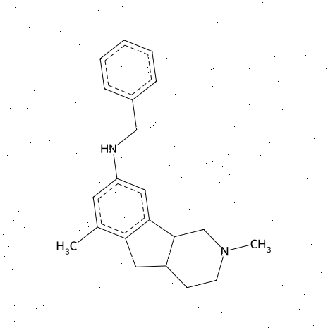 Cc1cc(NCc2ccccc2)cc2c1CC1CCN(C)CC21